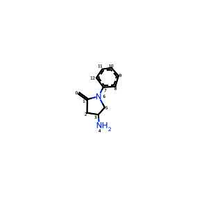 C=C1CC(N)CN1c1ccccc1